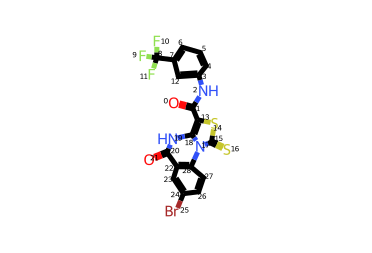 O=C(Nc1cccc(C(F)(F)F)c1)c1sc(=S)n2c1[nH]c(=O)c1cc(Br)ccc12